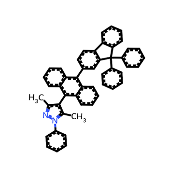 Cc1nn(-c2ccccc2)c(C)c1-c1c2ccccc2c(-c2ccc3c(c2)C(c2ccccc2)(c2ccccc2)c2ccccc2-3)c2ccccc12